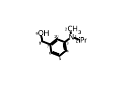 CC(C)N(C)c1cccc(CO)c1